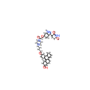 Cn1nc([C@H]2CCC(=O)NC2=O)c2ccc(OCC(=O)N3CCN(CCCCOc4ccc([C@@H]5c6ccc(O)cc6CC[C@@H]5c5ccccc5)cc4)CC3)cc21